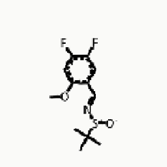 COc1cc(F)c(F)cc1/C=N/[S+]([O-])C(C)(C)C